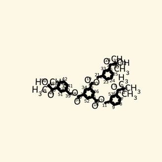 CC(C)(C)C(=O)c1cccc(COC(=O)c2cc(C(=O)OCc3cccc(C(=O)C(C)(C)O)c3)cc(C(=O)OCc3cccc(C(=O)C(C)(C)O)c3)c2)c1